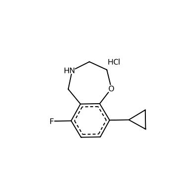 Cl.Fc1ccc(C2CC2)c2c1CNCCO2